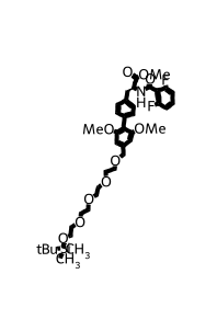 COC(=O)[C@H](Cc1ccc(-c2c(OC)cc(COCCOCCOCCOCCO[Si](C)(C)C(C)(C)C)cc2OC)cc1)NC(=O)c1c(F)cccc1F